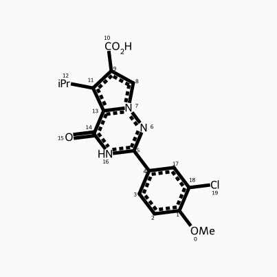 COc1ccc(-c2nn3cc(C(=O)O)c(C(C)C)c3c(=O)[nH]2)cc1Cl